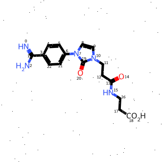 N=C(N)c1ccc(-n2ccn(CCC(=O)NCCC(=O)O)c2=O)cc1